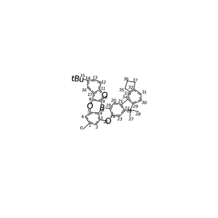 Cc1cc2c3c(c1)Oc1c(oc4ccc(C(C)(C)C)cc14)B3c1cc3c(cc1O2)C(C)(C)c1ccc2c(c1-3)CCC2